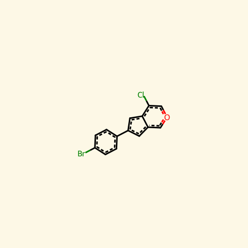 Clc1cocc2cc(-c3ccc(Br)cc3)cc1-2